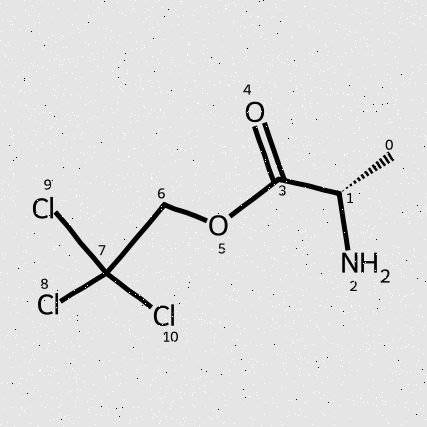 C[C@H](N)C(=O)OCC(Cl)(Cl)Cl